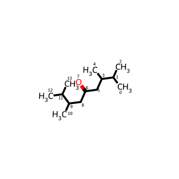 CC(C)C(C)CC(=O)CC(C)C(C)C